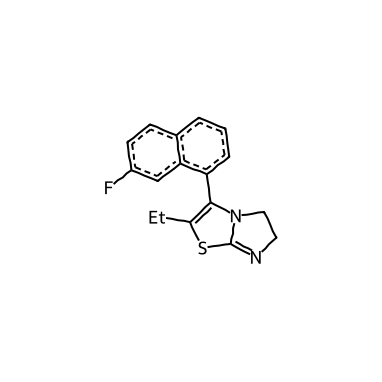 CCC1=C(c2cccc3ccc(F)cc23)N2CCN=C2S1